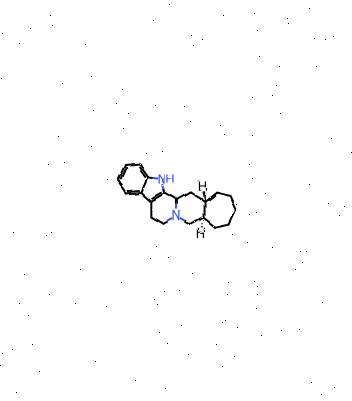 c1ccc2c3c([nH]c2c1)C1C[C@@H]2CCCCC[C@H]2CN1CC3